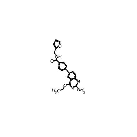 CCOc1nc(N)nc2ccc(-c3ccc(C(=O)NCc4ccco4)cc3)cc12